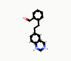 O=[C]c1ccccc1CCc1ccc2ncncc2c1